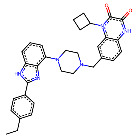 CCc1ccc(-c2nc3c(N4CCN(Cc5ccc6[nH]c(=O)c(=O)n(C7CCC7)c6c5)CC4)cccc3[nH]2)cc1